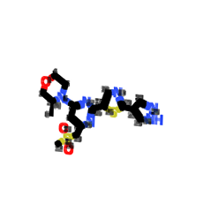 C[C@H]1COCCN1c1cc(CS(C)(=O)=O)nc(-c2cnc(-c3cn[nH]c3)s2)n1